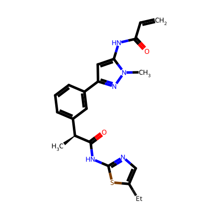 C=CC(=O)Nc1cc(-c2cccc([C@H](C)C(=O)Nc3ncc(CC)s3)c2)nn1C